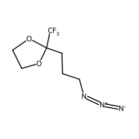 [N-]=[N+]=NCCCC1(C(F)(F)F)OCCO1